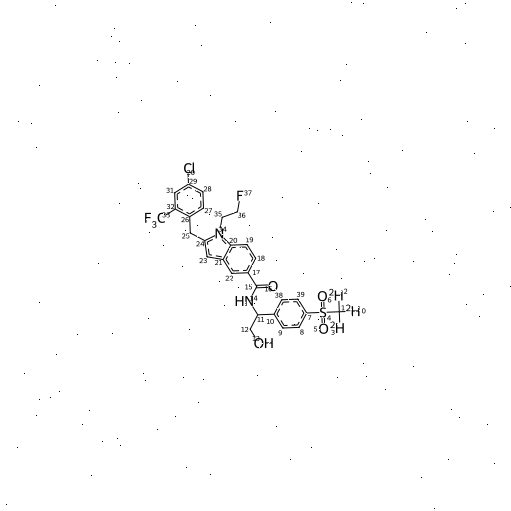 [2H]C([2H])([2H])S(=O)(=O)c1ccc(C(CO)NC(=O)c2ccc3c(c2)cc(Cc2ccc(Cl)cc2C(F)(F)F)n3CCF)cc1